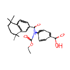 CCOC(=O)N(C(=O)c1ccc2c(c1)C(C)(C)CCC2(C)C)c1ccc(C(=O)O)cc1